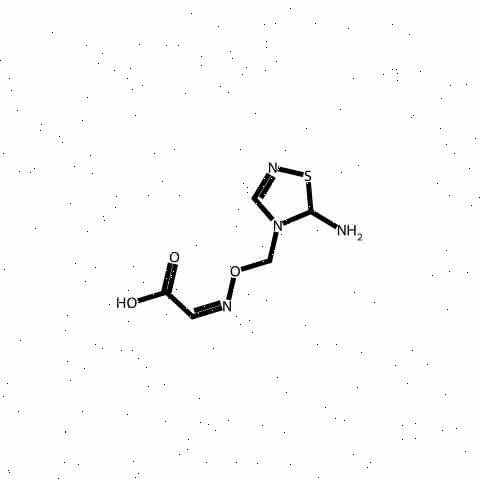 NC1SN=CN1CO/N=C\C(=O)O